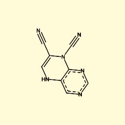 N#CC1=CNc2cncnc2N1C#N